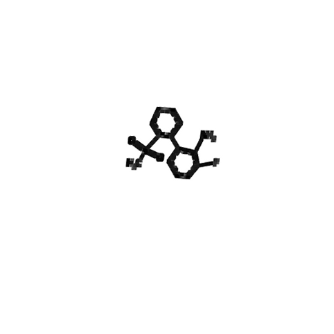 CS(=O)(=O)c1ccccc1-c1cccc(F)c1N